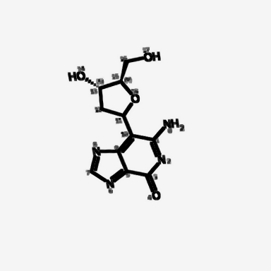 NC1=NC(=O)C2=NC=NC2=C1C1C[C@H](O)[C@@H](CO)O1